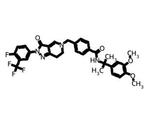 COc1ccc(C(C)(C)NC(=O)c2ccc(CN3C=C4C(=O)N(c5ccc(F)c(C(F)(F)F)c5)N=C4CC3)cc2)cc1OC